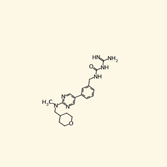 CN(CC1CCOCC1)c1ncc(-c2cccc(CNC(=O)NC(=N)N)c2)cn1